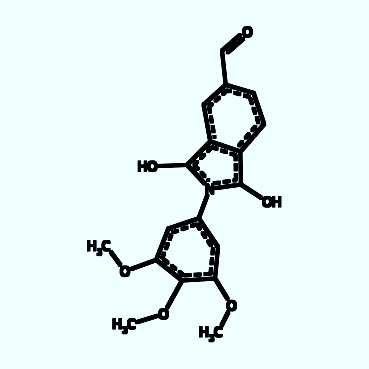 COc1cc(-n2c(O)c3ccc(C=O)cc3c2O)cc(OC)c1OC